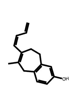 C=C/C=C\C1=C(C)Cc2ccc(O)cc2CC1